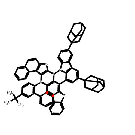 CC(C)(C)c1ccc(N2c3cc4c(sc5ccccc54)c4c3B(c3sc5ccc6ccccc6c5c32)n2c3ccc(C56CC7CC(CC(C7)C5)C6)cc3c3cc(C56CC7CC(CC(C7)C5)C6)cc-4c32)c(-c2ccccc2)c1